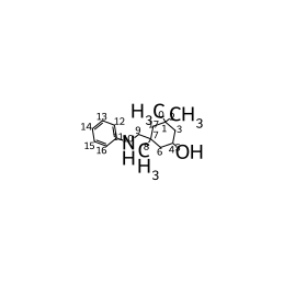 CC1(C)CC(O)CC(C)(CNc2ccccc2)C1